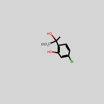 CCOC(=O)C(C)(O)c1ccc(Br)cc1O